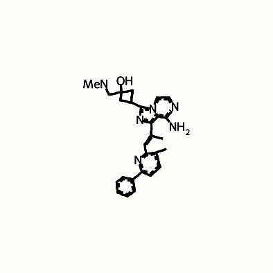 CNCC1(O)CC(c2nc(/C(C)=C/c3nc(-c4ccccc4)ccc3C)c3c(N)nccn23)C1